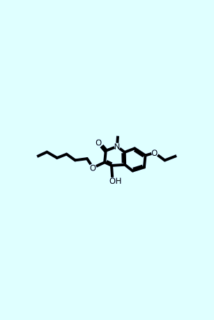 CCCCCCOc1c(O)c2ccc(OCC)cc2n(C)c1=O